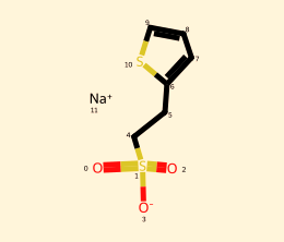 O=S(=O)([O-])CCc1cccs1.[Na+]